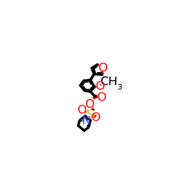 COc1c(C(=O)OCS(=O)(=O)N2C3CCC2CC3)cccc1-c1ccoc1